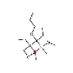 CCCOC(CC)(C1(CC)COC1)[Si](C)(OC)OC